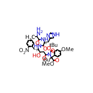 CCC(C)[C@](C(=O)OC)(c1ccc(OC)cc1)N(C(=O)CC(O)[C@H](Cc1ccccc1[N+](=O)[O-])NC(=O)[C@H](Cc1c[nH]cn1)NC(=O)C(C)N)C(=O)OC(C)(C)C